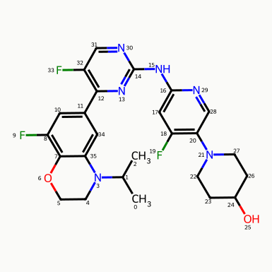 CC(C)N1CCOc2c(F)cc(-c3nc(Nc4cc(F)c(N5CCC(O)CC5)cn4)ncc3F)cc21